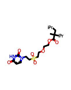 CC(C)CC(C)(C(=O)OCCOCCS(=O)(=O)CCn1ccc(=O)[nH]c1=O)C(C)C